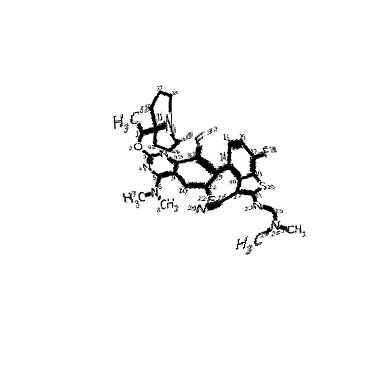 CC(Oc1nc(N(C)C)c2cc(F)c(-c3ccc(F)c4sc(/N=C/N(C)C)c(C#N)c34)c(F)c2n1)C12CCCN1CCC2